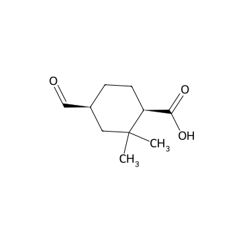 CC1(C)C[C@@H](C=O)CC[C@H]1C(=O)O